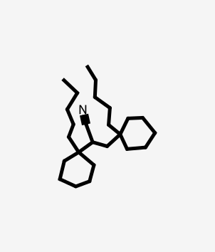 CCCCCC1(CC(C#N)C2(CCCCC)CCCCC2)CCCCC1